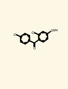 COc1ccc(C(=O)c2ccc(Cl)cc2)c(Cl)c1